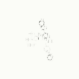 Cc1nc(NCC2CCN(c3ccccn3)CC2)nc(N[C@@H]2C[C@H](CO)[C@@H](O)[C@H]2O)c1-c1nc2cnccc2s1